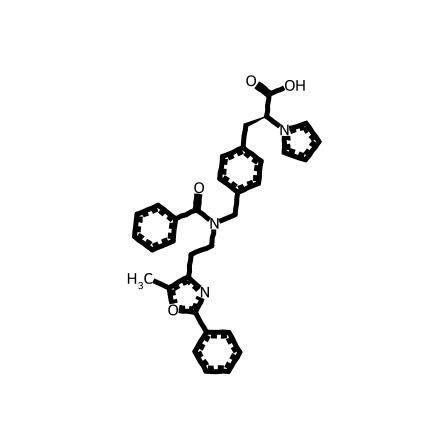 Cc1oc(-c2ccccc2)nc1CCN(Cc1ccc(C[C@@H](C(=O)O)n2cccc2)cc1)C(=O)c1ccccc1